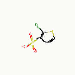 O=S(=O)(O)c1ccsc1Cl